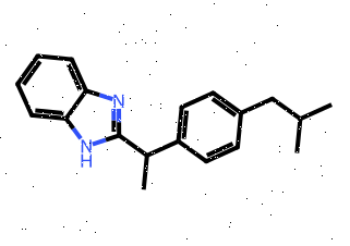 CC(C)Cc1ccc(C(C)c2nc3ccccc3[nH]2)cc1